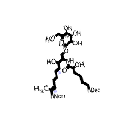 CCCCCCCCCCCCCCC(O)C(=O)NC(CO[C@@H]1OC(CO)[C@@H](O)[C@H](O)C1O)C(O)/C=C/CC/C=C(\C)CCCCCCCCC